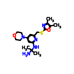 Cc1nc(SCc2cc(N3CCOCC3)cc(NC(C)(C)N)n2)oc1C